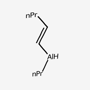 CCC/C=[CH]/[AlH][CH2]CC